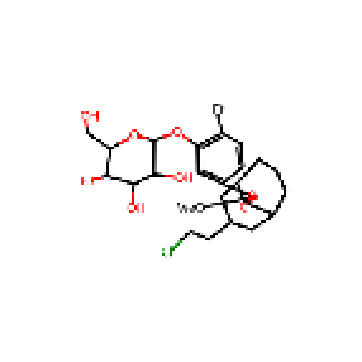 CCc1ccc(C2(OC)OOC23C2CCCC3CC(CCCl)C2)cc1OC1OC(CO)C(O)C(O)C1O